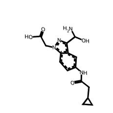 NC(O)c1nn(CC(=O)O)c2ccc(NC(=O)CC3CC3)cc12